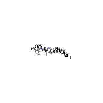 Cc1ccc(C(C)C)c(N2C(=O)CS/C2=N\C(=S)NC(C)/C=C\c2cccc(-c3ncn(-c4ccc(OC(F)(F)F)cc4)n3)c2)c1